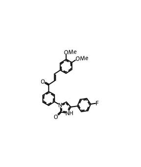 COc1ccc(/C=C/C(=O)c2cccc(-n3cc(-c4ccc(F)cc4)[nH]c3=O)c2)cc1OC